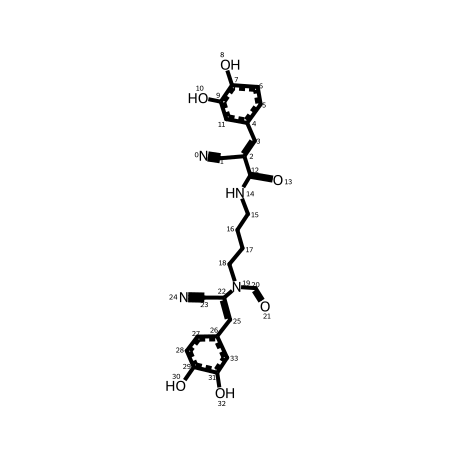 N#C/C(=C\c1ccc(O)c(O)c1)C(=O)NCCCCN(C=O)/C(C#N)=C/c1ccc(O)c(O)c1